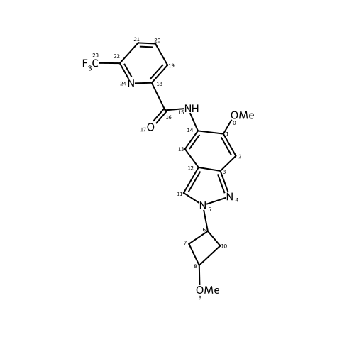 COc1cc2nn(C3CC(OC)C3)cc2cc1NC(=O)c1cccc(C(F)(F)F)n1